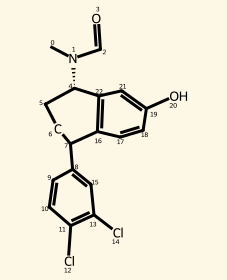 CN(C=O)[C@H]1CCC(c2ccc(Cl)c(Cl)c2)c2ccc(O)cc21